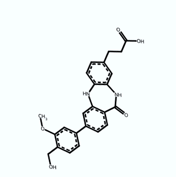 COc1cc(-c2ccc3c(c2)Nc2ccc(CCC(=O)O)cc2NC3=O)ccc1CO